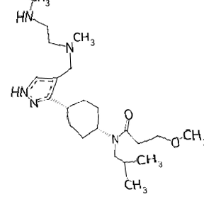 CNCCN(C)Cc1c[nH]nc1[C@H]1CC[C@@H](N(CC(C)C)C(=O)CCOC)CC1